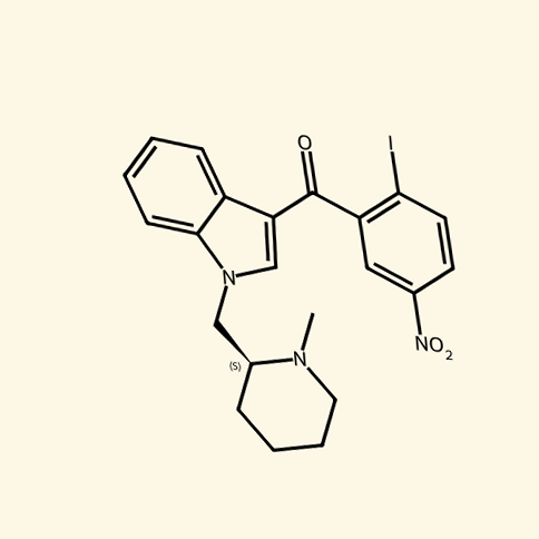 CN1CCCC[C@H]1Cn1cc(C(=O)c2cc([N+](=O)[O-])ccc2I)c2ccccc21